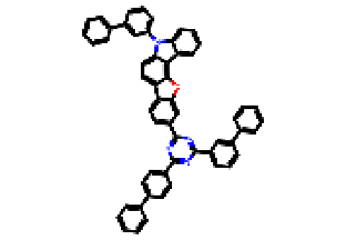 c1ccc(-c2ccc(-c3nc(-c4cccc(-c5ccccc5)c4)nc(-c4ccc5c(c4)oc4c5ccc5c4c4ccccc4n5-c4cccc(-c5ccccc5)c4)n3)cc2)cc1